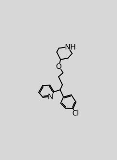 Clc1ccc(C(CCCOC2CCNCC2)c2ccccn2)cc1